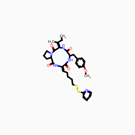 CC/C(C)=C1\NC(=O)C(Cc2ccc(OC)cc2)NC(=O)/C(=C\CCCCSSc2ccccn2)NC(=O)C2CCCN2C1=O